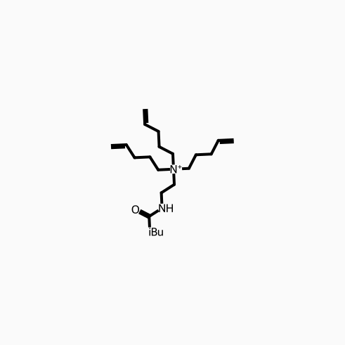 C=CCCC[N+](CCCC=C)(CCCC=C)CCNC(=O)C(C)CC